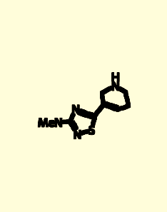 CNc1nsc(C2=CCCNC2)n1